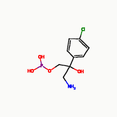 NCC(O)(COP(O)O)c1ccc(Cl)cc1